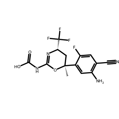 C[C@@]1(c2cc(N)c(C#N)cc2F)C[C@@H](C(F)(F)F)N=C(NC(=O)O)O1